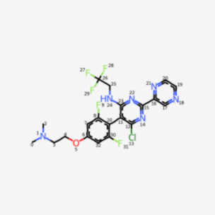 CN(C)CCOc1cc(F)c(-c2c(Cl)nc(-c3cnccn3)nc2NCC(F)(F)F)c(F)c1